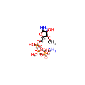 CO[C@@H]1C(O)[C@H](N)O[C@@H]1COP(=O)(O)OP(=O)(O)OP(=O)(O)ON